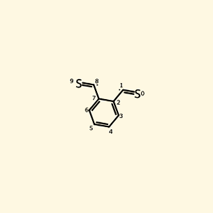 S=[C]c1ccccc1[C]=S